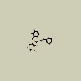 COc1cc(CCNc2nc3c(c(=O)n(C)c(=O)n3C)n2Cc2cccc(Cl)c2F)cc(OC)c1